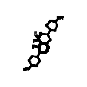 CCCC1CCC(c2ccc3c(c2F)C(F)(F)OC(C2CCC(CCC)CC2)C3)CC1